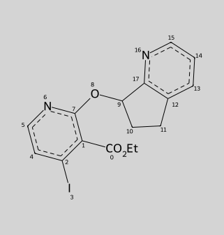 CCOC(=O)c1c(I)ccnc1OC1CCc2cccnc21